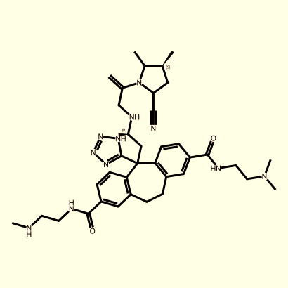 C=C(CN[C@H](C)CC1(c2nnn[nH]2)c2ccc(C(=O)NCCNC)cc2CCc2cc(C(=O)NCCN(C)C)ccc21)N1C(C#N)C[C@H](C)C1C